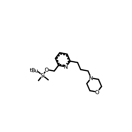 CC(C)(C)[Si](C)(C)OCc1cccc(CCCN2CCOCC2)n1